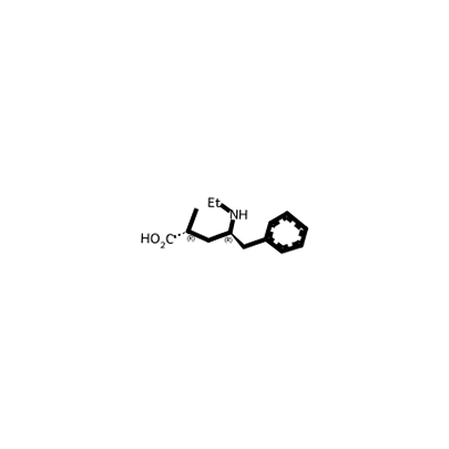 CCN[C@@H](Cc1ccccc1)C[C@@H](C)C(=O)O